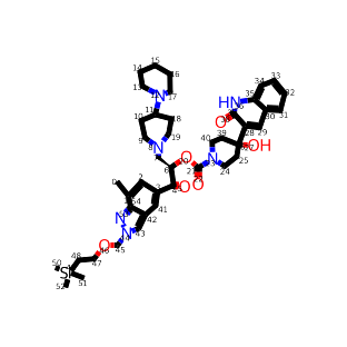 Cc1cc(C(=O)[C@@H](CN2CCC(N3CCCCC3)CC2)OC(=O)N2CCC(O)(c3cc4ccccc4[nH]c3=O)CC2)cc2cn(COCC[Si](C)(C)C)nc12